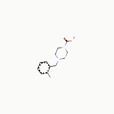 Cc1ccccc1CN1CCN(C(=O)OC(C)(C)C)C[C@H]1C